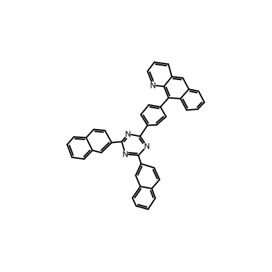 c1ccc2cc(-c3nc(-c4ccc(-c5c6ccccc6cc6cccnc56)cc4)nc(-c4ccc5ccccc5c4)n3)ccc2c1